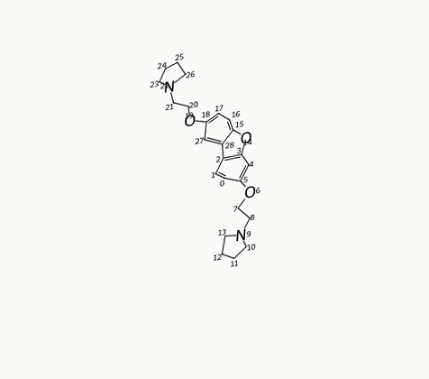 c1cc2c(cc1OCCN1CCCC1)oc1ccc(OCCN3CCCC3)cc12